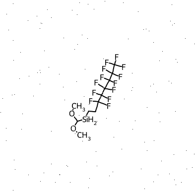 COC(OC)[SiH2]CCC(F)(F)C(F)(F)C(F)(F)C(F)(F)C(F)(F)C(F)(F)F